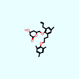 C=CCc1cc(C)cc(CCCOc2c(C)cc(C)cc2C)c1OCC1CC(O)CC(=O)O1